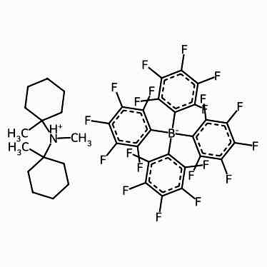 C[NH+](C1(C)CCCCC1)C1(C)CCCCC1.Fc1c(F)c(F)c([B-](c2c(F)c(F)c(F)c(F)c2F)(c2c(F)c(F)c(F)c(F)c2F)c2c(F)c(F)c(F)c(F)c2F)c(F)c1F